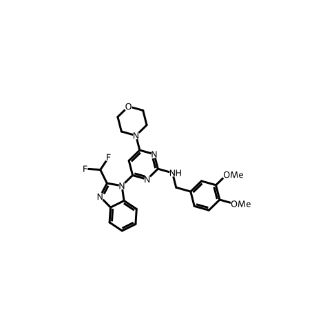 COc1ccc(CNc2nc(N3CCOCC3)cc(-n3c(C(F)F)nc4ccccc43)n2)cc1OC